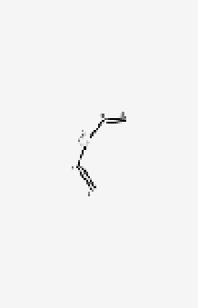 C=[CH][Cu][CH]=C